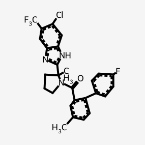 Cc1ccc(-c2ccc(F)cc2)c(C(=O)N2CCCC2(C)c2nc3cc(C(F)(F)F)c(Cl)cc3[nH]2)c1